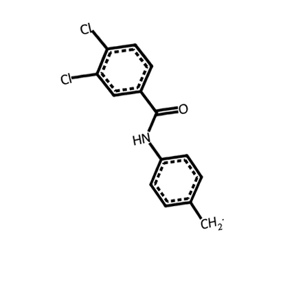 [CH2]c1ccc(NC(=O)c2ccc(Cl)c(Cl)c2)cc1